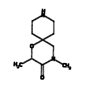 CC1OC2(CCNCC2)CN(C)C1=O